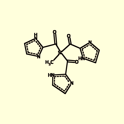 C[Si](C(=O)c1ncc[nH]1)(C(=O)c1ncc[nH]1)C(=O)c1ncc[nH]1